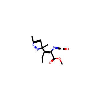 CCC(=C(N=C=O)C(=O)OC)C1(C)C=C(C)N=N1